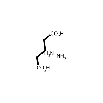 N.N.O=C(O)CCCC(=O)O